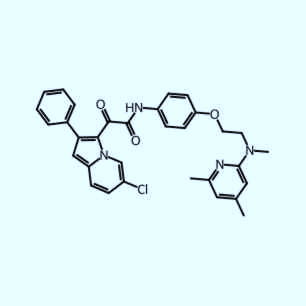 Cc1cc(C)nc(N(C)CCOc2ccc(NC(=O)C(=O)c3c(-c4ccccc4)cc4ccc(Cl)cn34)cc2)c1